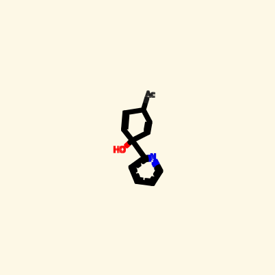 CC(=O)C1C=CC(O)(c2ccccn2)C=C1